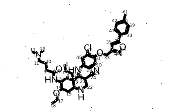 CCCC12CC(NC(=O)CCCN(C)C)C(OCC)CC1NCC(C#N)C2Nc1ccc(OCc2cc(-c3ccc(C)cc3)on2)c(Cl)c1